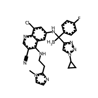 BC(Nc1cc(Cl)c2ncc(C#N)c(NCCc3nccn3C)c2c1)(c1ccc(F)cc1)c1cn(C2CC2)nn1